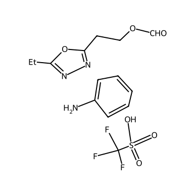 CCc1nnc(CCOC=O)o1.Nc1ccccc1.O=S(=O)(O)C(F)(F)F